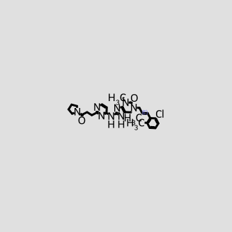 C/C(=C\c1c(C)cccc1Cl)CN1Cc2[nH]c(Nc3ccnc(CCC(=O)N4CCCC4)n3)nc2N(C)C1=O